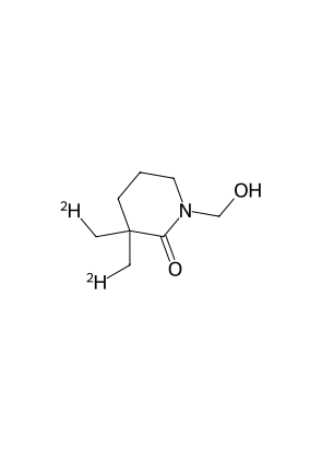 [2H]CC1(C[2H])CCCN(CO)C1=O